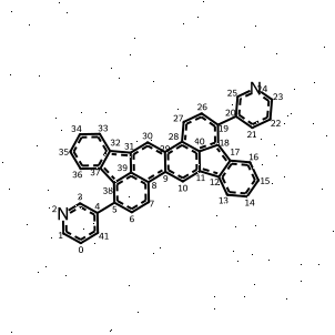 c1cncc(-c2ccc3c4cc5c6ccccc6c6c(-c7cccnc7)ccc(c4cc4c7ccccc7c2c34)c56)c1